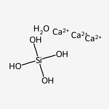 O.O[Si](O)(O)O.[Ca+2].[Ca+2].[Ca+2]